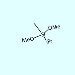 CO[Si](C)(OC)C(C)C